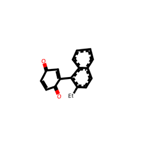 CCc1ccc2ccccc2c1C1=CC(=O)C=CC1=O